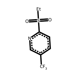 CCS(=O)(=O)c1ccc(C(F)(F)F)cn1